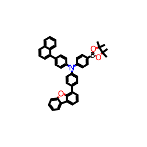 CC1(C)OB(c2ccc(N(c3ccc(-c4cccc5ccccc45)cc3)c3ccc(-c4cccc5c4oc4ccccc45)cc3)cc2)OC1(C)C